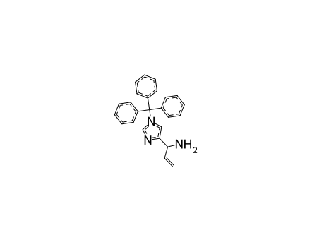 C=CC(N)c1cn(C(c2ccccc2)(c2ccccc2)c2ccccc2)cn1